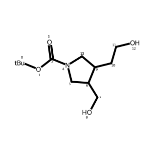 CC(C)(C)OC(=O)N1CC(CO)C(CCO)C1